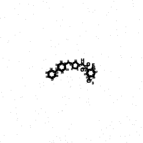 O=S(=O)(N[C@@H]1CCN(Cc2ccc(-c3ccccc3)cc2)C1)c1cc(C(F)(F)F)ccc1F